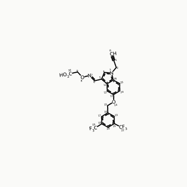 C#CCn1cc(C=NOCC(=O)O)c2cc(OCc3cc(C(F)(F)F)cc(C(F)(F)F)c3)ccc21